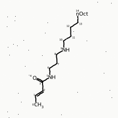 CC=CC(=O)NCCCNCCCCCCCCCCCC